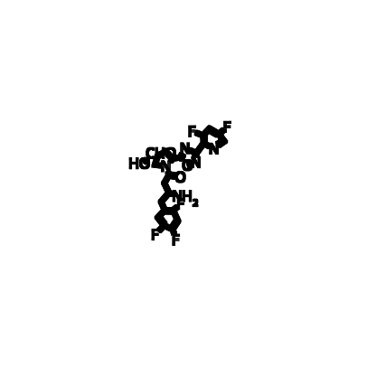 NC(CC(=O)N1CCCC1c1nc(-c2ncc(F)cc2F)no1)Cc1cc(F)c(F)cc1F.O=CO